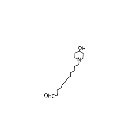 O=CCCCCCCCCCCCN1CCC(O)CC1